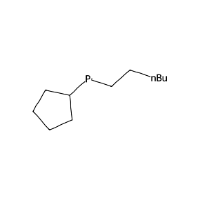 CCCCCC[P]C1CCCC1